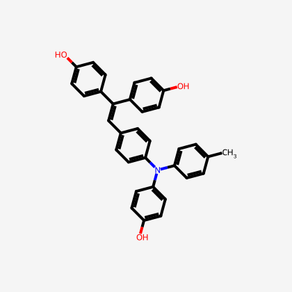 Cc1ccc(N(c2ccc(O)cc2)c2ccc(C=C(c3ccc(O)cc3)c3ccc(O)cc3)cc2)cc1